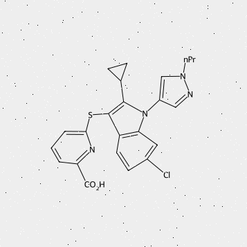 CCCn1cc(-n2c(C3CC3)c(Sc3cccc(C(=O)O)n3)c3ccc(Cl)cc32)cn1